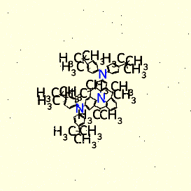 CC(C)(C)c1ccc(N(c2ccc(C(C)(C)C)cc2)c2cc3c4c(c2)C(C)(C)c2cc(N(c5ccc(C(C)(C)C)cc5)c5ccc(C(C)(C)C)cc5)cc5c2N4c2c(cccc2C5(C)C)C3(C)C)cc1